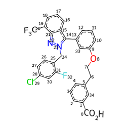 O=C(O)c1cccc(CCOc2cccc(-c3c4cccc(C(F)(F)F)c4nn3Cc3ccc(Cl)cc3F)c2)c1